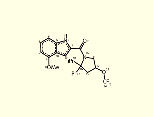 COc1cccc2[nH]c(C(=O)N3CC(OC(F)(F)F)CC3(C(C)C)C(C)C)cc12